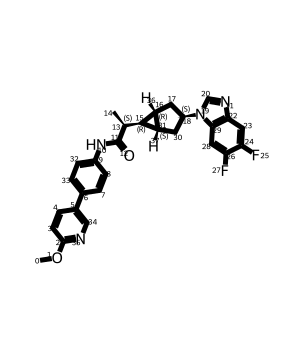 COc1ccc(-c2ccc(NC(=O)[C@@H](C)[C@H]3[C@@H]4C[C@@H](n5cnc6cc(F)c(F)cc65)C[C@@H]43)cc2)cn1